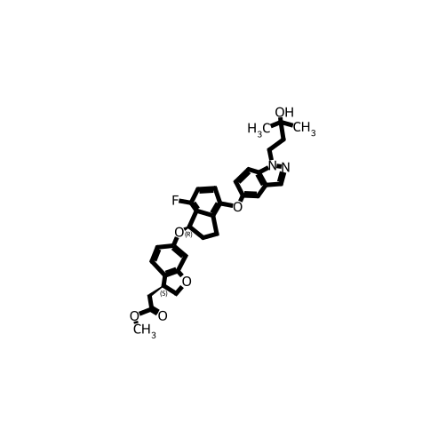 COC(=O)C[C@@H]1COc2cc(O[C@@H]3CCc4c(Oc5ccc6c(cnn6CCC(C)(C)O)c5)ccc(F)c43)ccc21